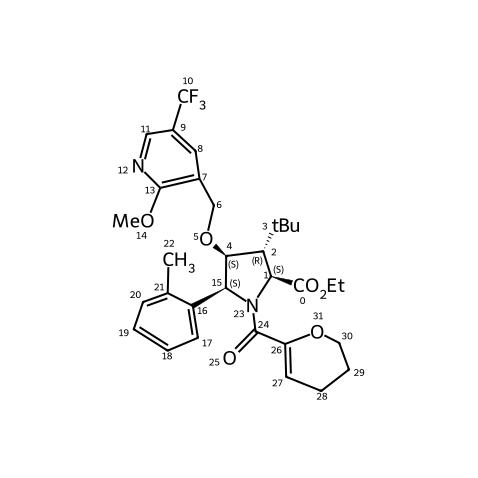 CCOC(=O)[C@@H]1[C@@H](C(C)(C)C)[C@H](OCc2cc(C(F)(F)F)cnc2OC)[C@H](c2ccccc2C)N1C(=O)C1=CCCCO1